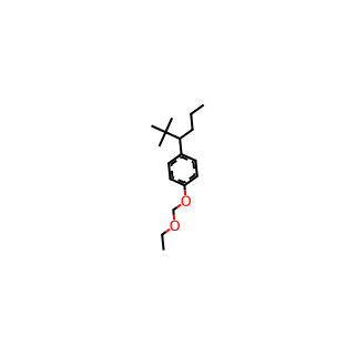 CCCC(c1ccc(OCOCC)cc1)C(C)(C)C